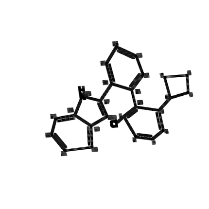 Clc1cccc(C2CCC2)c1-c1ccccc1-c1cc2ccccc2[nH]1